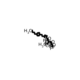 CCCCCc1ccc(CCc2ccc(C(=O)N[C@H](CC(=O)OC(=O)C(F)(F)F)C[N+](C)(C)C)s2)cc1